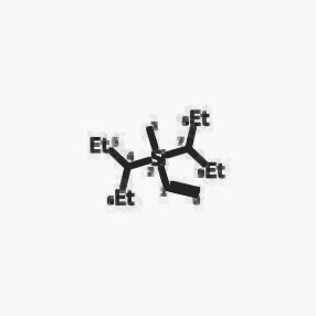 C=C[Si](C)(C(CC)CC)C(CC)CC